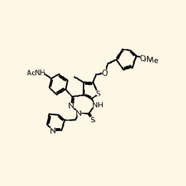 COc1ccc(COCc2sc3c(c2C)C(c2ccc(NC(C)=O)cc2)=NN(Cc2cccnc2)C(=S)N3)cc1